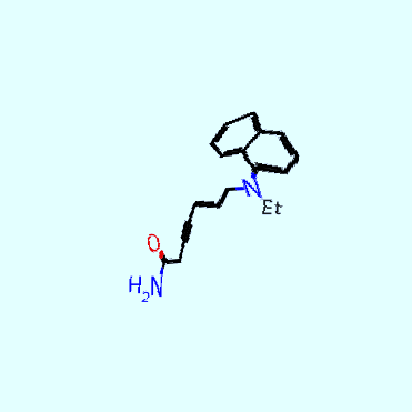 CCN(CC=CC#CCC(N)=O)c1cccc2ccccc12